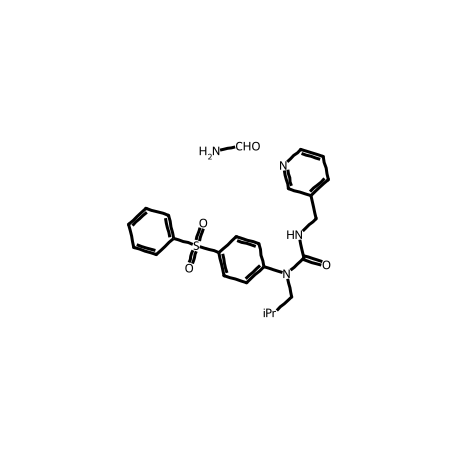 CC(C)CN(C(=O)NCc1cccnc1)c1ccc(S(=O)(=O)c2ccccc2)cc1.NC=O